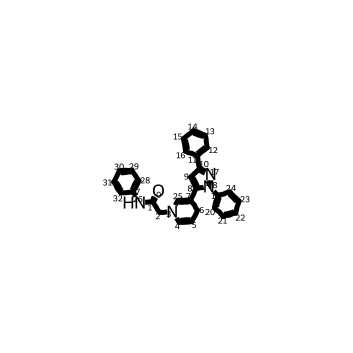 O=C(CN1C=CCC(c2cc(-c3cc[c]cc3)nn2-c2ccccc2)=C1)Nc1ccccc1